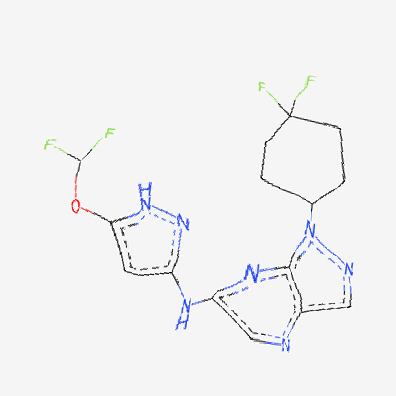 FC(F)Oc1cc(Nc2cnc3cnn(C4CCC(F)(F)CC4)c3n2)n[nH]1